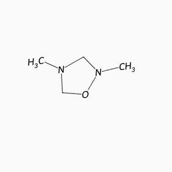 CN1CON(C)C1